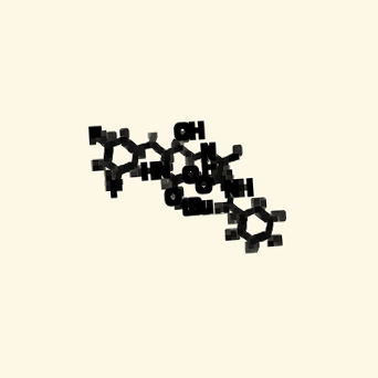 C[C@H](NC[C@@H](O)C(Cc1cc(F)cc(F)c1)NC(=O)OC(C)(C)C)C(=O)NCc1ccccc1